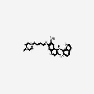 COc1cc2c(Nc3cccc4ccoc34)c(C#N)cnc2cc1OCCCCN1CCN(C)CC1